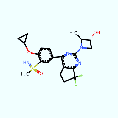 C[C@H]1[C@H](O)CN1c1nc(-c2ccc(OC3CC3)c(S(C)(=N)=O)c2)c2c(n1)C(F)(F)CC2